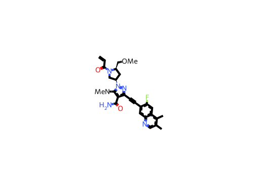 C=CC(=O)N1C[C@@H](n2nc(C#Cc3cc4ncc(C)c(C)c4cc3F)c(C(N)=O)c2NC)C[C@@H]1COC